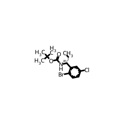 CC[C@@H](NC(=O)OC(C)(C)C)c1cc(Cl)ccc1Br